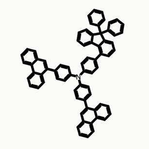 c1ccc(C2(c3ccccc3)c3ccccc3-c3c(-c4ccc(N(c5ccc(-c6cc7ccccc7c7ccccc67)cc5)c5ccc(-c6cc7ccccc7c7ccccc67)cc5)cc4)cccc32)cc1